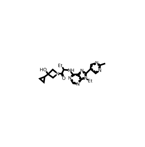 CCC(Nc1ncnc2c1nc(-c1cnc(C)nc1)n2CC)C(=O)N1CC(O)(C2CC2)C1